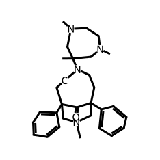 CN1CC2(c3ccccc3)CCN(C3(C)CN(C)CCN(C)C3)CCC(c3ccccc3)(C1)C2=O